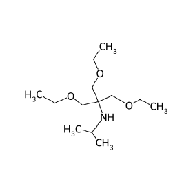 CCOCC(COCC)(COCC)NC(C)C